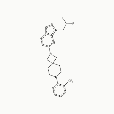 FC(F)Cn1ncc2ncc(N3CC4(CCN(c5ncccc5C(F)(F)F)CC4)C3)nc21